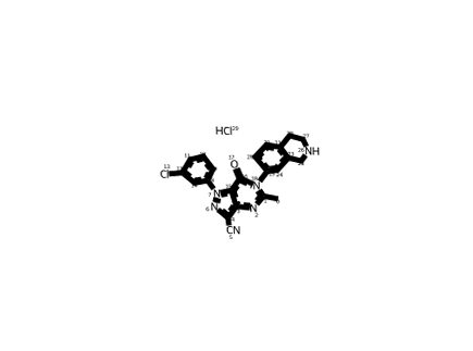 Cc1nc2c(C#N)nn(-c3cccc(Cl)c3)c2c(=O)n1-c1ccc2c(c1)CNCC2.Cl